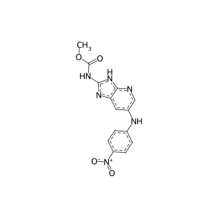 COC(=O)Nc1nc2cc(Nc3ccc([N+](=O)[O-])cc3)cnc2[nH]1